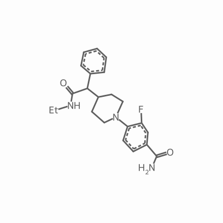 CCNC(=O)C(c1ccccc1)C1CCN(c2ccc(C(N)=O)cc2F)CC1